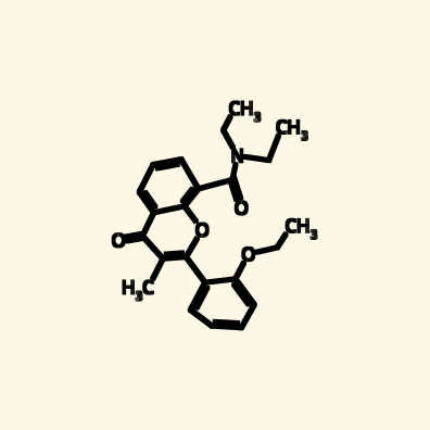 CCOc1ccccc1-c1oc2c(C(=O)N(CC)CC)cccc2c(=O)c1C